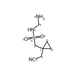 N#CCC1(CS(=O)(=O)NCN)CC1